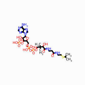 CC(C)SCCNC(=O)CCNC(=O)C(O)C(C)(C)COP(=O)(O)OP(=O)(O)OCC1OC(n2cnc3c(N)ncnc32)C(O)C1OP(=O)(O)O